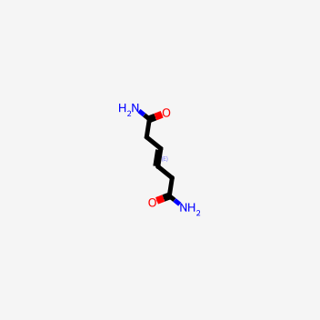 NC(=O)C/C=C/CC(N)=O